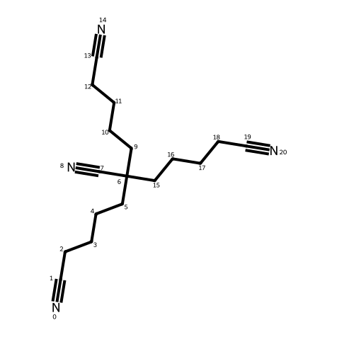 N#CCCCCC(C#N)(CCCCC#N)CCCCC#N